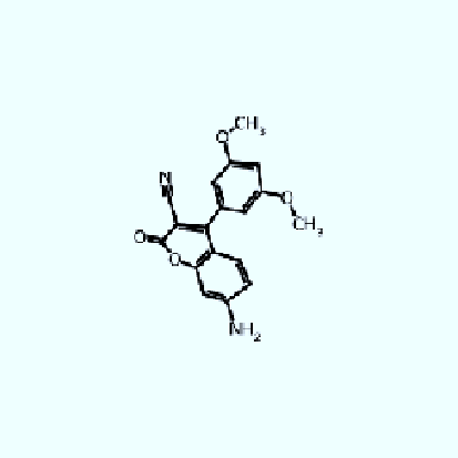 COc1cc(OC)cc(-c2c(C#N)c(=O)oc3cc(N)ccc23)c1